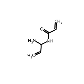 C=CC(=O)NC(N)C=C